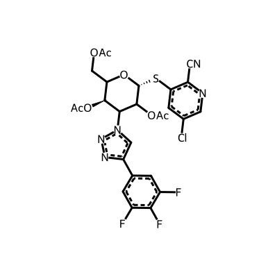 CC(=O)OCC1O[C@H](Sc2cc(Cl)cnc2C#N)C(OC(C)=O)C(n2cc(-c3cc(F)c(F)c(F)c3)nn2)[C@H]1OC(C)=O